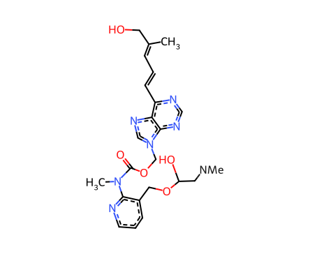 CNCC(O)OCc1cccnc1N(C)C(=O)OCn1cnc2c(/C=C/C=C(\C)CO)ncnc21